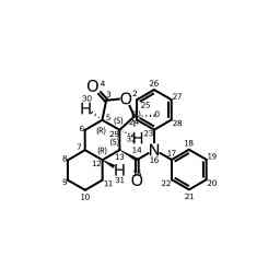 C[C@H]1OC(=O)[C@@H]2CC3CCCC[C@H]3[C@H](C(=O)N(c3ccccc3)c3ccccc3)[C@H]12